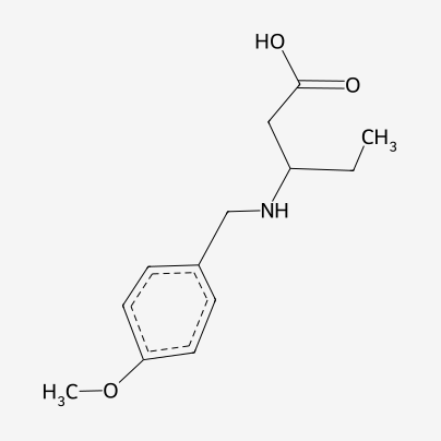 CCC(CC(=O)O)NCc1ccc(OC)cc1